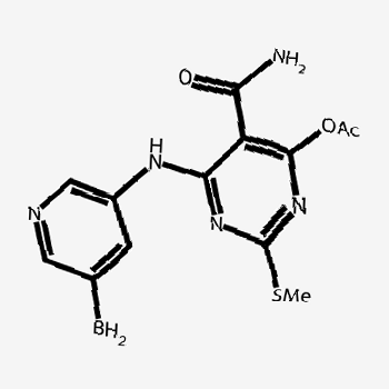 Bc1cncc(Nc2nc(SC)nc(OC(C)=O)c2C(N)=O)c1